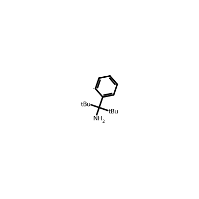 CC(C)(C)C(N)(c1[c]cccc1)C(C)(C)C